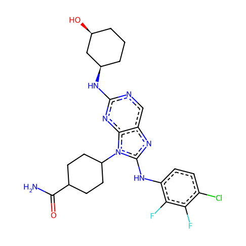 NC(=O)C1CCC(n2c(Nc3ccc(Cl)c(F)c3F)nc3cnc(N[C@@H]4CCC[C@H](O)C4)nc32)CC1